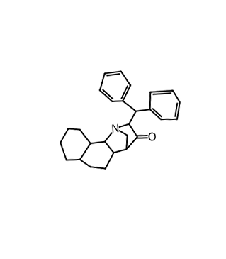 O=C1C2CN(C1C(c1ccccc1)c1ccccc1)C1C3CCCCC3CCC21